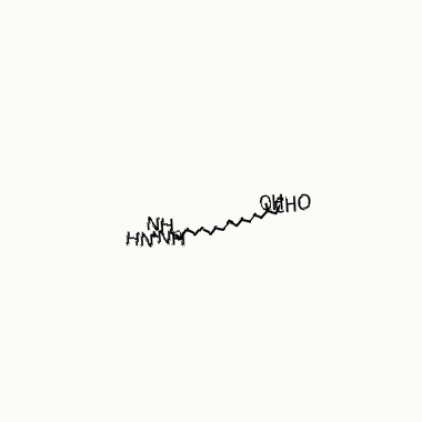 N=C(N)NCCCCCCCCCCCCCCC(O)C[C]=O